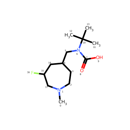 CN1CCC(CN(C(=O)O)C(C)(C)C)CC(F)C1